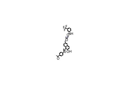 CC(=O)c1ccc(N=Nc2c(O)ccc3cc(CO/N=C/ONc4cccc(C(F)(F)F)c4)ccc23)cc1